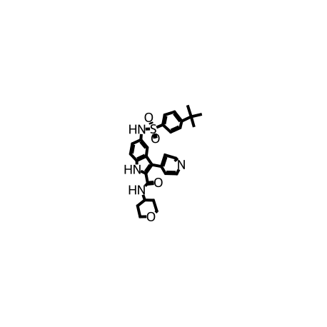 CC(C)(C)c1ccc(S(=O)(=O)Nc2ccc3[nH]c(C(=O)NC4CCOCC4)c(-c4ccncc4)c3c2)cc1